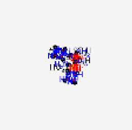 Nc1ccc(N(c2ccc(N)c(S(=O)(=O)O)c2)S(=O)(=O)S(=O)(=O)OS(=O)(=O)[O-])cc1S(=O)(=O)O.Nc1ccc(N(c2ccc(N)c(S(=O)(=O)O)c2)S(=O)(=O)S(=O)(=O)OS(=O)(=O)[O-])cc1S(=O)(=O)O.[Cu+2].c1ccc2c(c1)-c1nc-2nc2[nH]c(nc3nc(nc4[nH]c(n1)c1ccccc41)-c1ccccc1-3)c1ccccc21.c1ccc2c(c1)-c1nc-2nc2[nH]c(nc3nc(nc4[nH]c(n1)c1ccccc41)-c1ccccc1-3)c1ccccc21